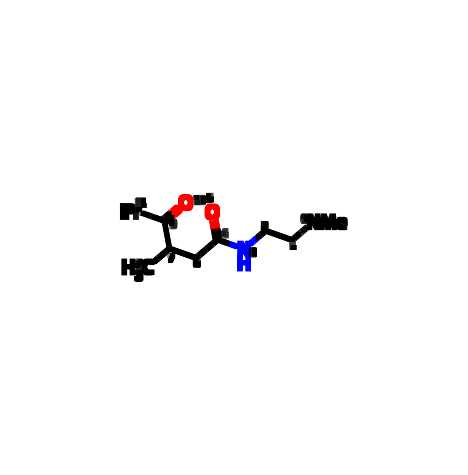 CNCCNC(=O)CC(C)C(=O)C(C)C